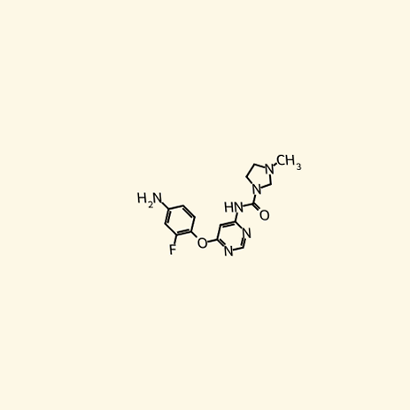 CN1CCN(C(=O)Nc2cc(Oc3ccc(N)cc3F)ncn2)C1